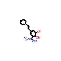 N=C(N)c1cc(C=Cc2ccccc2)cc(O)c1O